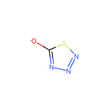 [O]c1nnns1